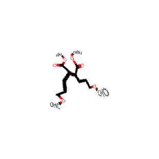 CCCCOC(=O)C(CCCOC=O)C(CCCOC=O)C(=O)OCCCC